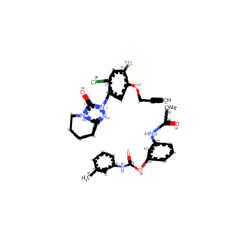 C#CCOc1cc(-n2nc3n(c2=O)CCCC3)c(Cl)cc1Cl.COC(=O)Nc1cccc(OC(=O)Nc2cccc(C)c2)c1